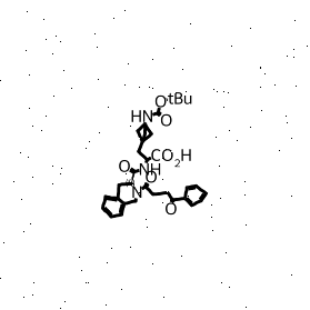 CC(C)(C)OC(=O)NC12CC(CC(NC(=O)[C@@H]3Cc4ccccc4CN3C(=O)CCC(=O)c3ccccc3)C(=O)O)(C1)C2